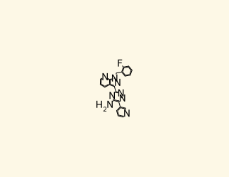 Nc1nc(-c2nn(Cc3ccccc3F)c3ncccc23)nnc1-c1cccnc1